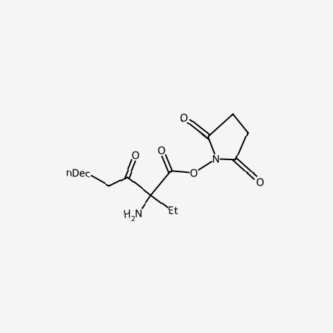 CCCCCCCCCCCC(=O)C(N)(CC)C(=O)ON1C(=O)CCC1=O